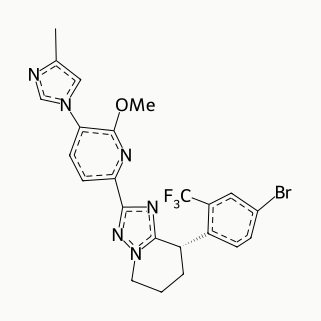 COc1nc(-c2nc3n(n2)CCC[C@H]3c2ccc(Br)cc2C(F)(F)F)ccc1-n1cnc(C)c1